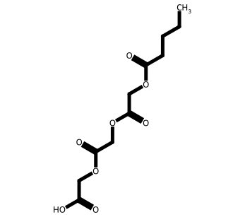 CCCCC(=O)OCC(=O)OCC(=O)OCC(=O)O